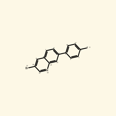 Fc1ccc(-c2ccc3cc(Br)cnc3c2)cc1